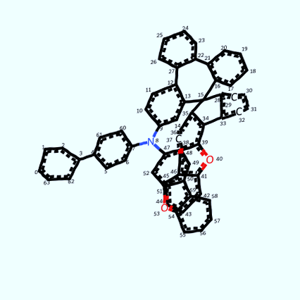 c1ccc(-c2ccc(N(c3ccc4c(c3)C3(c5ccccc5-c5ccccc5-4)c4ccccc4-c4c3ccc3c4oc4ccccc43)c3ccc4c(c3)oc3ccccc34)cc2)cc1